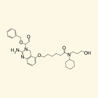 NC1=Nc2cccc(OCCCCCC(=O)N(CCCO)C3CCCCC3)c2CN1C(C=O)OCc1ccccc1